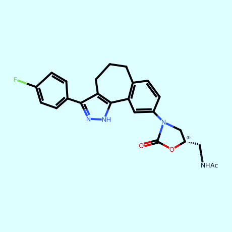 CC(=O)NC[C@H]1CN(c2ccc3c(c2)-c2[nH]nc(-c4ccc(F)cc4)c2CCC3)C(=O)O1